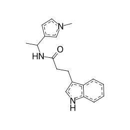 CC(NC(=O)CCc1c[nH]c2ccccc12)c1ccn(C)c1